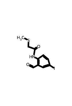 CSCC(=O)Nc1ccc(I)cc1C=O